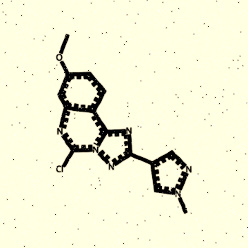 COc1ccc2c(c1)nc(Cl)n1nc(-c3cnn(C)c3)nc21